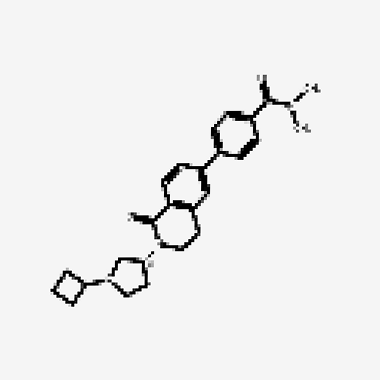 CN(C)C(=O)c1ccc(-c2ccc3c(c2)CCN([C@@H]2CCN(C4CCC4)C2)C3=O)cc1